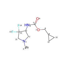 CC(C)N1CC(NC(=O)OCC2CC2)C(F)(F)C1